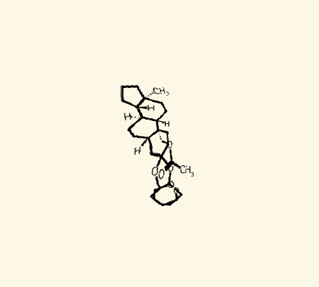 CC(=O)OC[C@]12CCC(OC3CCCCO3)(OC3CCCCO3)C[C@@H]1CC[C@H]1[C@@H]3CCC[C@@]3(C)CC[C@@H]12